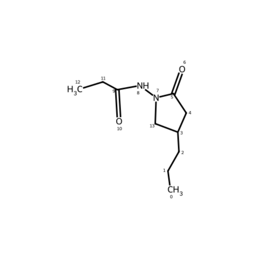 CCCC1CC(=O)N(NC(=O)CC)C1